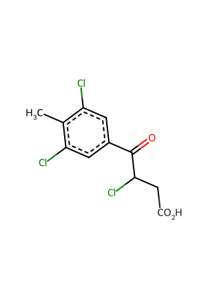 Cc1c(Cl)cc(C(=O)C(Cl)CC(=O)O)cc1Cl